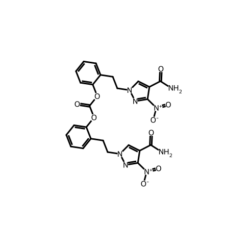 NC(=O)c1cn(CCc2ccccc2OC(=O)Oc2ccccc2CCn2cc(C(N)=O)c([N+](=O)[O-])n2)nc1[N+](=O)[O-]